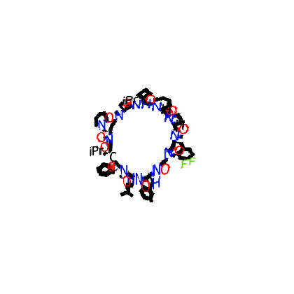 CC(C)=CC[C@@H]1NC(=O)[C@H](Cc2cccc(C)c2)NC(=O)CN(C)C(=O)[C@H](CC2CCC(F)(F)CC2)N(C)C(=O)[C@@H]2CCN2C(=O)[C@@H]2CCCCN2C(=O)C(C2CCC2)NC(=O)[C@H](CC(C)C)N(C)C(=O)C[C@@H](C(=O)N2CCCCC2)N(C)C(=O)[C@@H](CC(C)C)CC(=O)[C@@H](Cc2ccccc2)N(C)C1=O